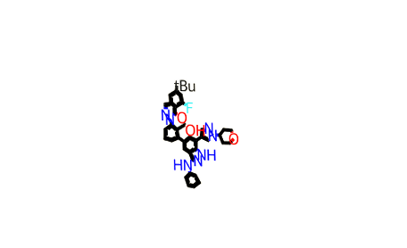 CC(C)(C)c1cc(F)c2c(=O)n(-c3cccc(-c4cc(-c5cnn(C6CCOCC6)c5)c5[nH]nc(Nc6ccccc6)c5c4)c3CO)ncc2c1